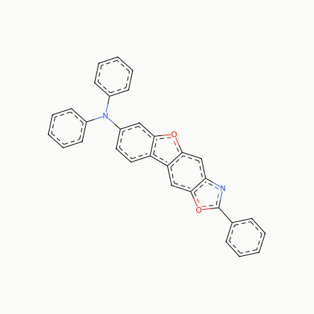 c1ccc(-c2nc3cc4oc5cc(N(c6ccccc6)c6ccccc6)ccc5c4cc3o2)cc1